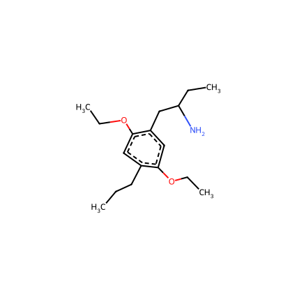 CCCc1cc(OCC)c(CC(N)CC)cc1OCC